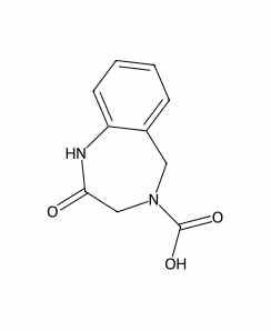 O=C1CN(C(=O)O)Cc2ccccc2N1